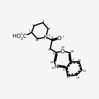 O=C(O)C1CCCN(C(=O)CC2=CN=c3ccccc3=CO2)C1